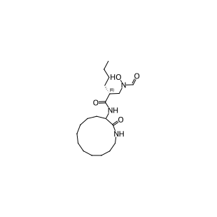 CCCC[C@H](CN(O)C=O)C(=O)NC1CCCCCCCCCCNC1=O